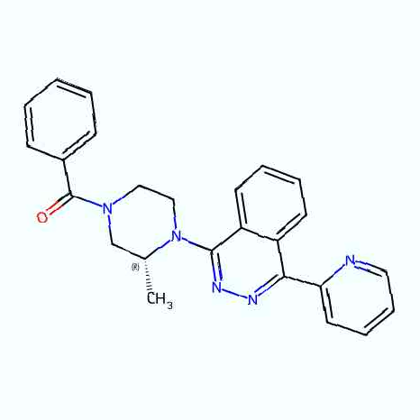 C[C@@H]1CN(C(=O)c2ccccc2)CCN1c1nnc(-c2ccccn2)c2ccccc12